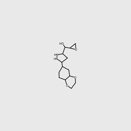 OC(C1CC(C2CCC3OCCOC3C2)NN1)C1CO1